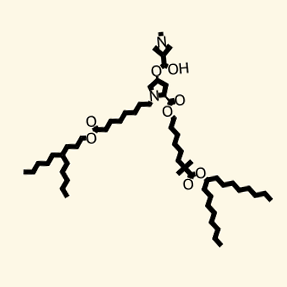 CCCCCCCCC(CCCCCCCC)OC(=O)C(C)(C)CCCCCCOC(=O)[C@@H]1C[C@H](OC(O)C2CN(C)C2)CN1CCCCCCCC(=O)OCCCC(CCCCC)CCCCC